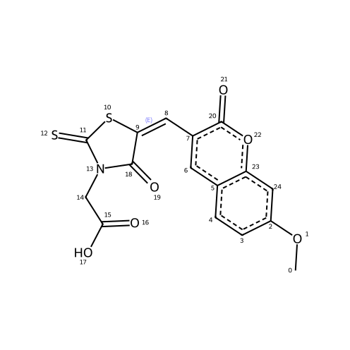 COc1ccc2cc(/C=C3/SC(=S)N(CC(=O)O)C3=O)c(=O)oc2c1